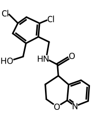 O=C(NCc1c(Cl)cc(Cl)cc1CO)C1CCOc2ncccc21